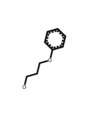 [O]CCCOc1ccccc1